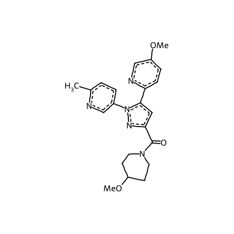 COc1ccc(-c2cc(C(=O)N3CCC(OC)CC3)nn2-c2ccc(C)nc2)nc1